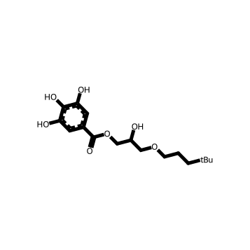 CC(C)(C)CCCOCC(O)COC(=O)c1cc(O)c(O)c(O)c1